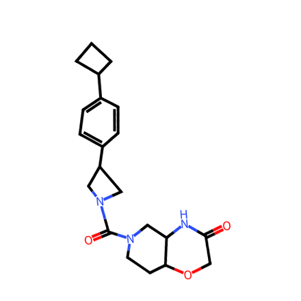 O=C1COC2CCN(C(=O)N3CC(c4ccc(C5CCC5)cc4)C3)CC2N1